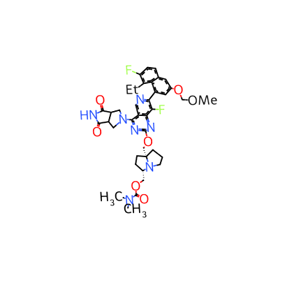 CCc1c(F)ccc2cc(OCOC)cc(-c3ncc4c(N5CC6C(=O)NC(=O)C6C5)nc(OC[C@]56CCCN5[C@H](COC(=O)N(C)C)CC6)nc4c3F)c12